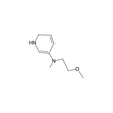 COCCN(C)C1=CNCC=[C]1